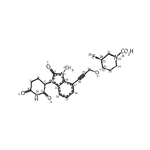 Cn1c(=O)n(C2CCC(=O)NC2=O)c2cccc(C#CCO[C@H]3CCN(C(=O)O)C[C@@H]3F)c21